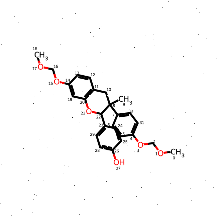 COCOc1ccc(C2(C)Cc3ccc(OCOC)cc3OC2c2ccc(O)cc2)cc1